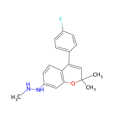 CNNc1ccc2c(c1)OC(C)(C)C=C2c1ccc(F)cc1